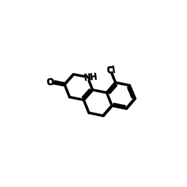 O=C1CNC2=C(CCc3cccc(Cl)c32)C1